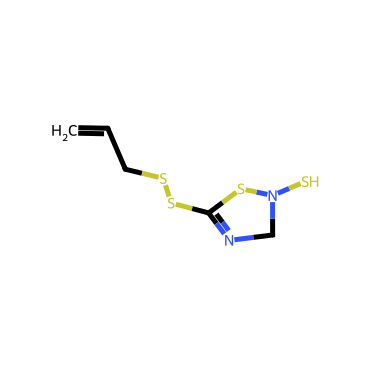 C=CCSSC1=NCN(S)S1